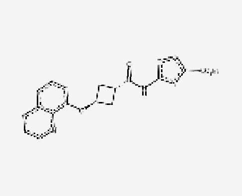 CCOC(=O)c1coc(NC(=O)[C@H]2C[C@H](Oc3cccc4cccnc34)C2)n1